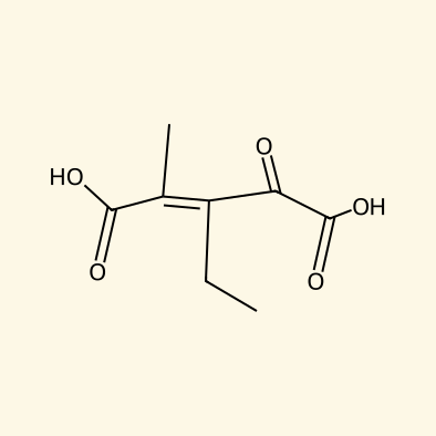 CC/C(C(=O)C(=O)O)=C(/C)C(=O)O